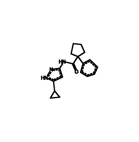 O=C(Nc1cc(C2CC2)[nH]n1)C1(c2ccccc2)CCCC1